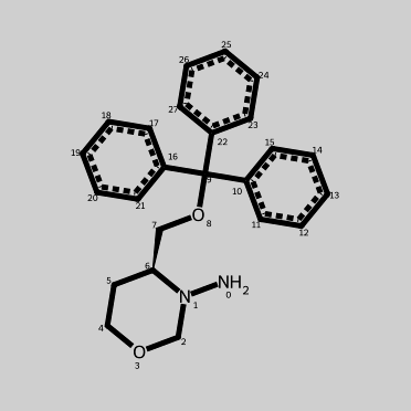 NN1COCC[C@H]1COC(c1ccccc1)(c1ccccc1)c1ccccc1